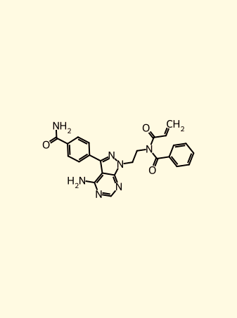 C=CC(=O)N(CCn1nc(-c2ccc(C(N)=O)cc2)c2c(N)ncnc21)C(=O)c1ccccc1